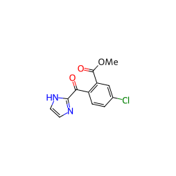 COC(=O)c1cc(Cl)ccc1C(=O)c1ncc[nH]1